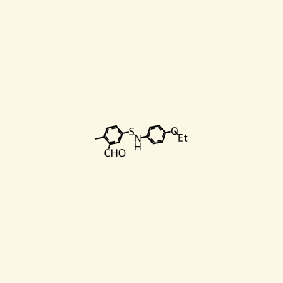 CCOc1ccc(NSc2ccc(C)c(C=O)c2)cc1